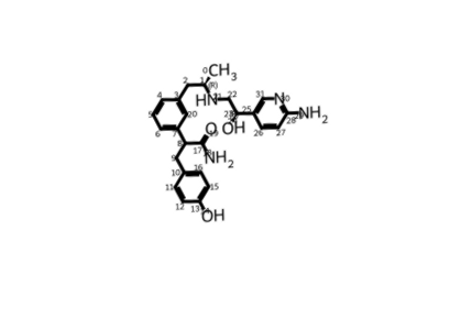 C[C@H](Cc1cccc(C(Cc2ccc(O)cc2)C(N)=O)c1)NC[C@H](O)c1ccc(N)nc1